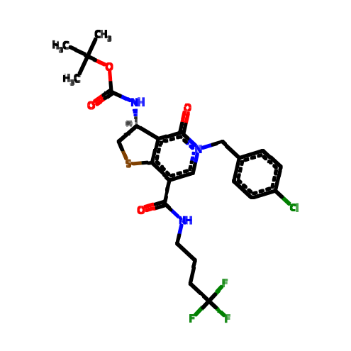 CC(C)(C)OC(=O)N[C@H]1CSc2c(C(=O)NCCCC(F)(F)F)cn(Cc3ccc(Cl)cc3)c(=O)c21